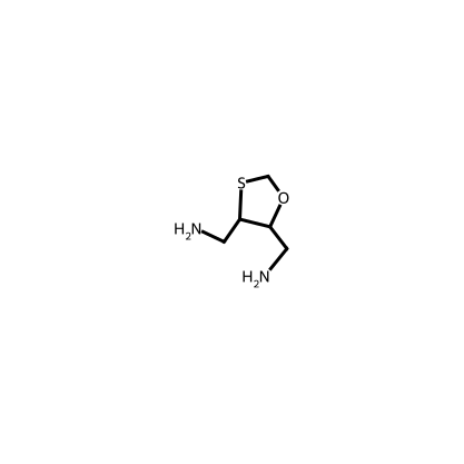 NCC1OCSC1CN